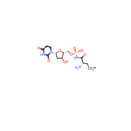 N[C@@H](CC(=O)O)C(=O)NP(=O)(O)OC[C@H]1O[C@@H](n2ccc(=O)[nH]c2=O)C[C@@H]1O